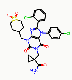 NC(=O)C1(Cn2c(=O)c3c(nc(-c4ccccc4Cl)n3-c3ccc(Cl)cc3)n(CC3CCS(=O)(=O)CC3)c2=O)CC1